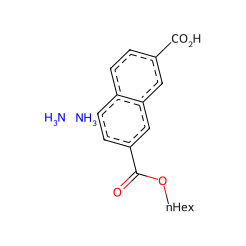 CCCCCCOC(=O)c1ccc2ccc(C(=O)O)cc2c1.N.N